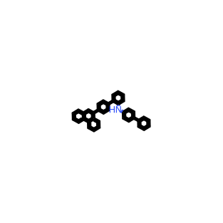 c1ccc(-c2ccc(Nc3ccccc3-c3ccc(-c4cc5ccccc5c5ccccc45)cc3)cc2)cc1